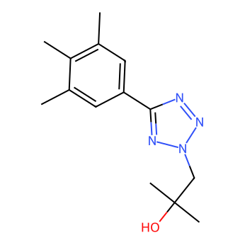 Cc1cc(-c2nnn(CC(C)(C)O)n2)cc(C)c1C